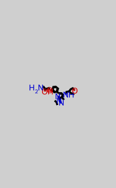 CC(C)n1ncc2c(NCC3CCOCC3)cc(-c3cccc(OCC(O)CN)c3)nc21